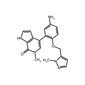 Cn1nccc1COc1ccc(N)cc1-c1cn(C)c(=O)c2[nH]ccc12